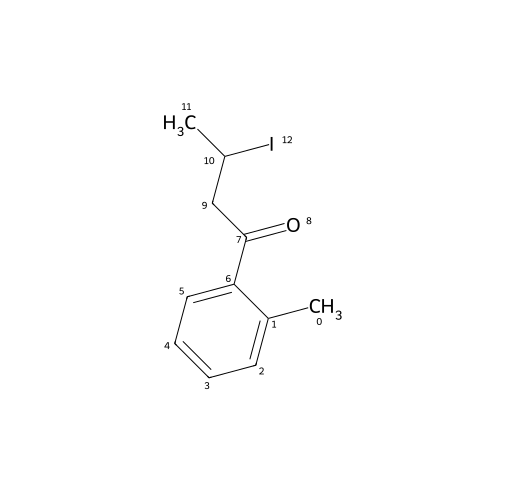 Cc1ccccc1C(=O)CC(C)I